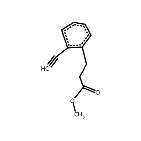 C#Cc1ccccc1CCC(=O)OC